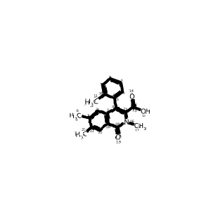 Cc1cc2c(-c3ccccc3C)c(C(=O)O)n(C)c(=O)c2cc1C